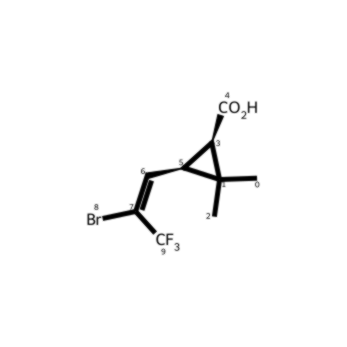 CC1(C)[C@H](C(=O)O)[C@@H]1/C=C(/Br)C(F)(F)F